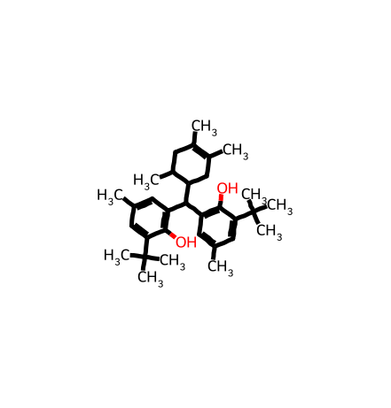 CC1=C(C)CC(C(c2cc(C)cc(C(C)(C)C)c2O)c2cc(C)cc(C(C)(C)C)c2O)C(C)C1